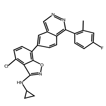 Cc1cc(F)ccc1-c1nncc2cc(-c3ccc(Cl)c4c(NC5CC5)noc34)ccc12